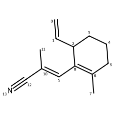 C=CC1CCCC(C)=C1/C=C(\C)C#N